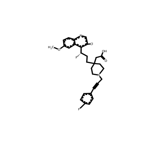 COc1ccc2ncc(Cl)c([C@@H](F)CCC3(CC(=O)O)CCN(CC#Cc4ccc(F)cc4)CC3)c2c1